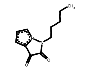 CCCCCN1C(=O)C(=O)c2cccn21